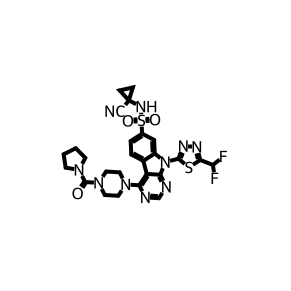 N#CC1(NS(=O)(=O)c2ccc3c4c(N5CCN(C(=O)N6CCCC6)CC5)ncnc4n(-c4nnc(C(F)F)s4)c3c2)CC1